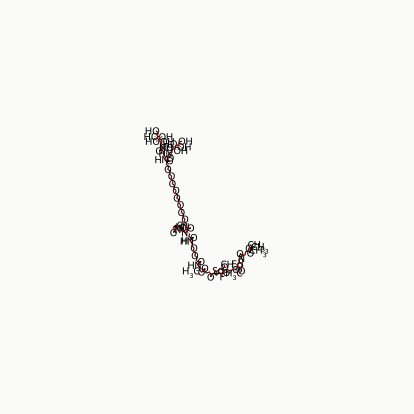 COc1cc2c(c(F)c1OCCCOc1c(OC)cc3sc(C(=O)CCC(=O)O[C@@H](C)CNC(=O)CCOCCOCCNC(=O)CC[C@H](NC(=O)CN4C(=O)C=CC4=O)C(=O)NCCOCCOCCOCCOCCOCCOCCOCCOCCC(=O)N[C@@H](CCC(=O)NC[C@H](O)[C@@H](O)[C@H](O)[C@H](O)CO)C(=O)NC[C@H](O)[C@@H](O)[C@H](O)[C@H](O)CO)cc3c1F)CN(C(=O)CCC(=O)OC(C)(C)C)C2